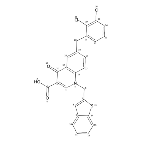 O=C(O)c1cn(Cc2cc3ccccc3s2)c2ccc(Cc3cccc(Cl)c3Cl)cc2c1=O